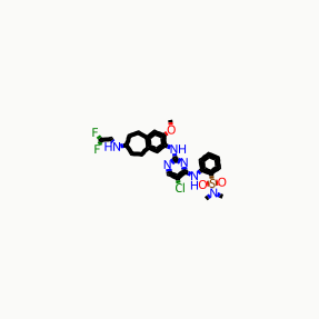 COc1cc2c(cc1Nc1ncc(Cl)c(Nc3ccccc3S(=O)(=O)N(C)C)n1)CCC(NCC(F)F)CC2